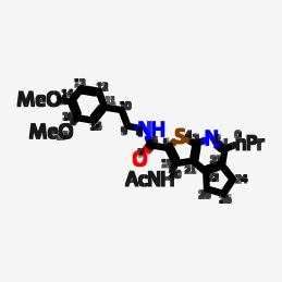 CCCc1nc2sc(C(=O)NCCc3ccc(OC)c(OC)c3)c(NC(C)=O)c2c2c1CCC2